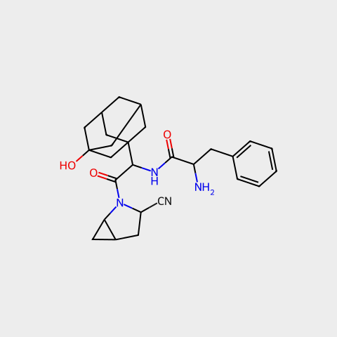 N#CC1CC2CC2N1C(=O)C(NC(=O)C(N)Cc1ccccc1)C12CC3CC(CC(O)(C3)C1)C2